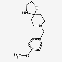 COc1ccc(CN2CCC3(CC2)NCCO3)cc1